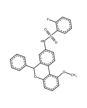 COc1cccc2c1-c1ccc(NS(=O)(=O)c3ccccc3F)cc1C(c1ccccc1)O2